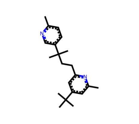 Cc1ccc(C(C)(C)CCc2cc(C(C)(C)C)cc(C)n2)cn1